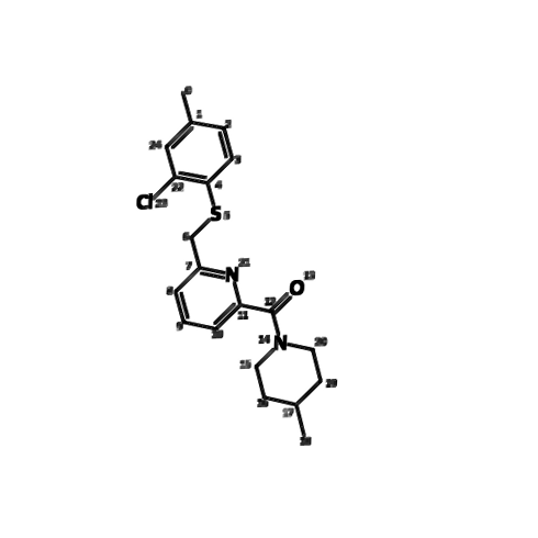 Cc1ccc(SCc2cccc(C(=O)N3CCC(C)CC3)n2)c(Cl)c1